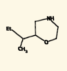 CC[C](C)C1CNCCO1